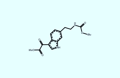 COC(=O)C(=O)c1c[nH]c2cc(CCNC(=O)OC(C)(C)C)ccc12